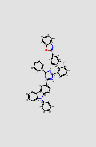 c1ccc(-c2nc(-c3ccc4c(c3)c3ccccc3n4-c3ccccc3)nc(-c3cccc4sc5cc(-c6nc7ccccc7o6)ccc5c34)n2)cc1